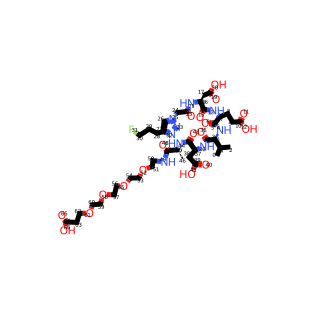 CC(C)[C@H](NC(=O)C(CCC(=O)O)NC(=O)[C@H](CC(=O)O)NC(=O)Cn1cc(CCCF)nn1)C(=O)NC(CC(=O)O)C(=O)N[C@H](C)C(=O)NCCOCCOCCOCCOCCC(=O)O